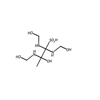 CC(O)(NCO)C(NCO)(NCO)S(=O)(=O)O